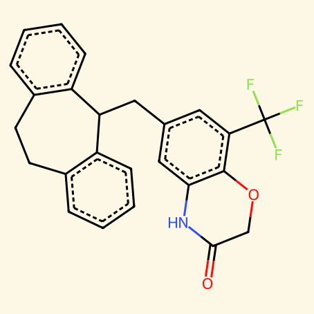 O=C1COc2c(cc(CC3c4ccccc4CCc4ccccc43)cc2C(F)(F)F)N1